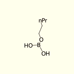 CCCCCOB(O)O